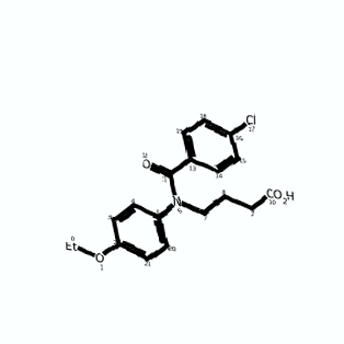 CCOc1ccc(N(CCCC(=O)O)C(=O)c2ccc(Cl)cc2)cc1